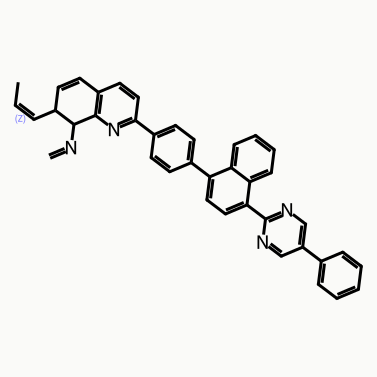 C=NC1c2nc(-c3ccc(-c4ccc(-c5ncc(-c6ccccc6)cn5)c5ccccc45)cc3)ccc2C=CC1/C=C\C